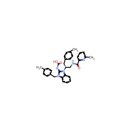 Cc1ccc(C[C@@H](CNC(=O)c2cccc(C)n2)n2c(=NC(=O)O)n(Cc3ccc(C)cc3)c3ccccc32)cc1